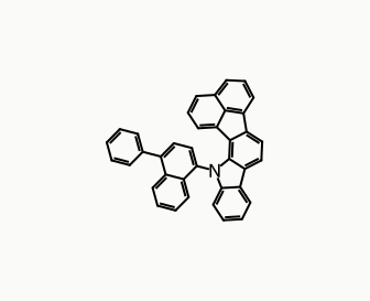 c1ccc(-c2ccc(-n3c4ccccc4c4ccc5c(c43)-c3cccc4cccc-5c34)c3ccccc23)cc1